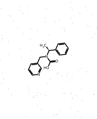 C[C@@H](c1ccccc1)N(Cc1cccnc1)C(=O)O